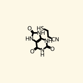 N#CCCS.O=c1[nH]c(=O)c2[nH]c(=O)[nH]c2[nH]1